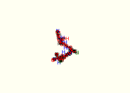 Cc1ncsc1-c1ccc([C@H](C)NC(=O)[C@@H]2C[C@@H](O)CN2C(=O)[C@@H](NC(=O)COCCOCCNC(=O)C2(C)CCC(c3ccc(Cl)cc3)=C(CN3CCN(c4ccc(C(=O)NS(=O)(=O)c5ccc(N[C@H](CCN6CCOCC6)CSc6ccccc6)c(S(=O)(=O)C(F)(F)F)c5)cc4)CC3)C2)C(C)(C)C)cc1